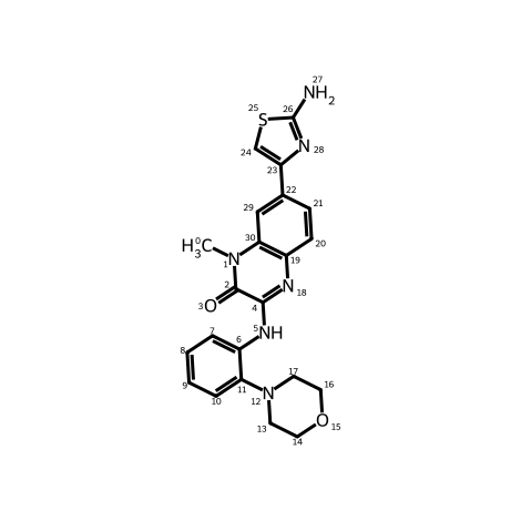 Cn1c(=O)c(Nc2ccccc2N2CCOCC2)nc2ccc(-c3csc(N)n3)cc21